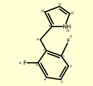 Fc1cccc(F)c1Cc1ccc[nH]1